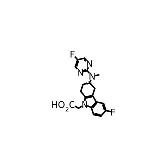 CN(c1ncc(F)cn1)[C@@H]1CCc2c(c3cc(F)ccc3n2CC(=O)O)C1